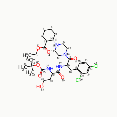 CCOC(=O)C1CCCC[C@@H]1N1CCN(C(=O)C(Cc2ccc(Cl)cc2Cl)NC(=O)C(CCO)NC(=O)OC(C)(C)C)CC1